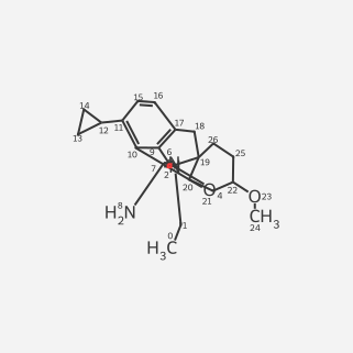 CCN1C(=O)C2(N=C1N)c1cc(C3CC3)ccc1CC21CCC(OC)CC1